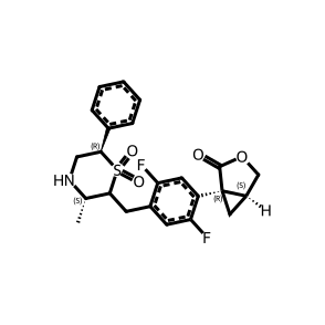 C[C@@H]1NC[C@@H](c2ccccc2)S(=O)(=O)C1Cc1cc(F)c([C@@]23C[C@@H]2COC3=O)cc1F